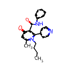 CCCCn1c(C)cc(=O)c(C(=O)Nc2ccccc2)c1-c1ccncc1